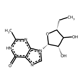 CC[C@H]1O[C@@H](n2cnc3c(=O)[nH]c(C)nc32)[C@@H](O)C1O